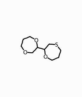 C1COCC(C2CSCCCO2)OC1